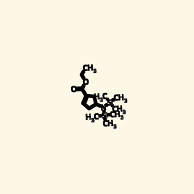 CCOC(=O)C1=CCC(N([Si](C)(C)C)[Si](C)(C)C)C1